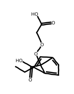 CCC1=CC2=CC=C1C2(OOCC(=O)O)C(=O)O